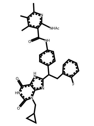 CC(=O)Nc1nc(C)c(C)c(C)c1C(=O)Nc1ccc(C(Cc2ccccc2F)c2nc3c([nH]2)c(=O)[nH]c(=O)n3CC2CC2)cc1